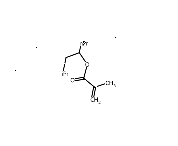 C=C(C)C(=O)OC(CCC)CC(C)C